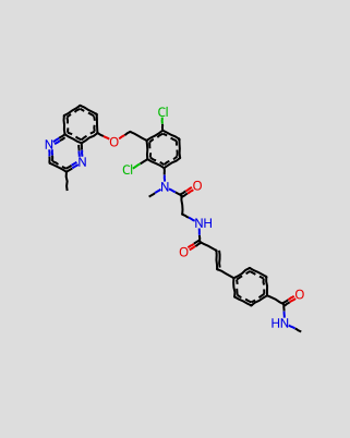 CNC(=O)c1ccc(C=CC(=O)NCC(=O)N(C)c2ccc(Cl)c(COc3cccc4ncc(C)nc34)c2Cl)cc1